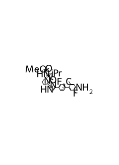 COC(=O)N[C@H](C(=O)N1CCCC1c1nc(-c2ccc(-c3cc(F)c(N)cc3C(F)(F)F)cc2)c[nH]1)C(C)C